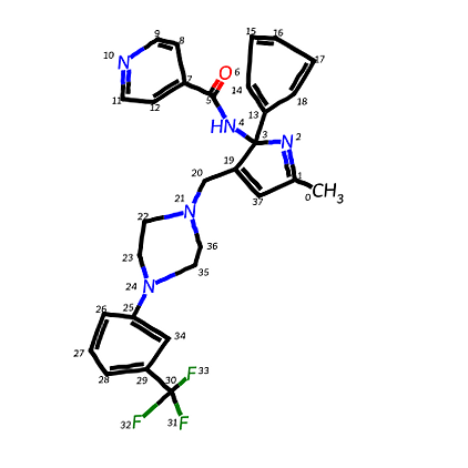 CC1=NC(NC(=O)c2ccncc2)(c2ccccc2)C(CN2CCN(c3cccc(C(F)(F)F)c3)CC2)=C1